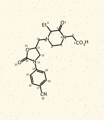 CCC1C(=O)N(CC(=O)O)CCN1CC1CN(c2ccc(C#N)cc2)C(=O)O1